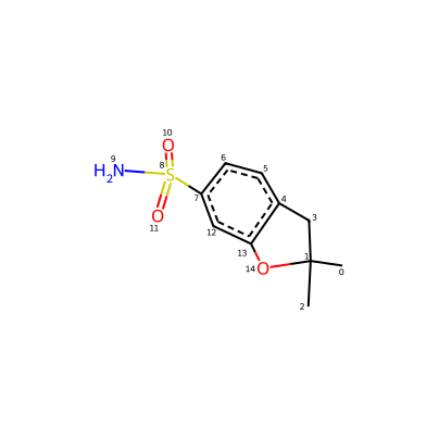 CC1(C)Cc2ccc(S(N)(=O)=O)cc2O1